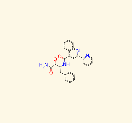 NC(=O)C(=O)C(Cc1ccccc1)NC(=O)c1cc(-c2ccccn2)nc2ccccc12